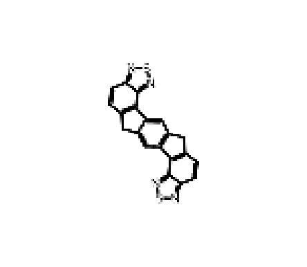 c1cc2nsnc2c2c1Cc1cc3c(cc1-2)Cc1ccc2nsnc2c1-3